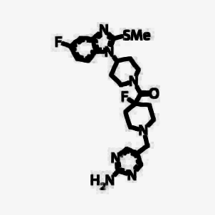 CSc1nc2cc(F)ccc2n1C1CCN(C(=O)C2(F)CCN(Cc3cnc(N)nc3)CC2)CC1